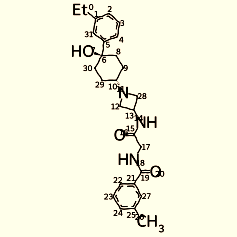 CCc1cccc([C@]2(O)CC[C@H](N3CC(NC(=O)CNC(=O)c4cccc(C)c4)C3)CC2)c1